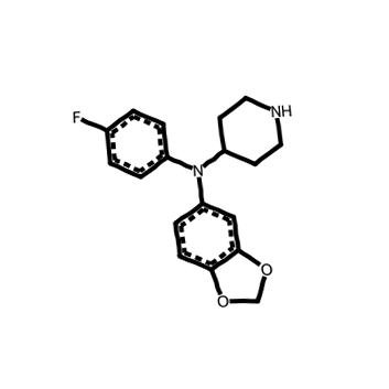 Fc1ccc(N(c2ccc3c(c2)OCO3)C2CCNCC2)cc1